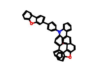 c1ccc(-c2ccc(N(c3ccc(-c4ccc5c(c4)oc4ccccc45)cc3)c3ccccc3-c3ccc4c(ccc5oc6ccccc6c54)c3)cc2)cc1